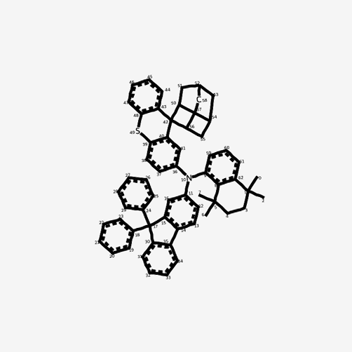 CC1(C)CCC(C)(C)c2c(N(c3ccc4c(c3)C(c3ccccc3)(c3ccccc3)c3ccccc3-4)c3ccc4c(c3)C3(c5ccccc5S4)C4CC5CC6CC3C64C5)cccc21